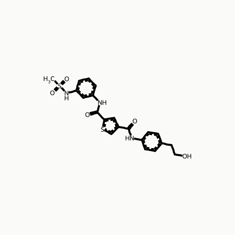 CS(=O)(=O)Nc1cccc(NC(=O)c2cc(C(=O)Nc3ccc(CCO)cc3)cs2)c1